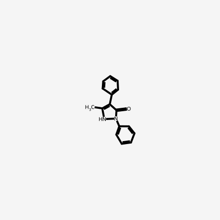 Cc1[nH]n(-c2ccccc2)c(=O)c1-c1ccccc1